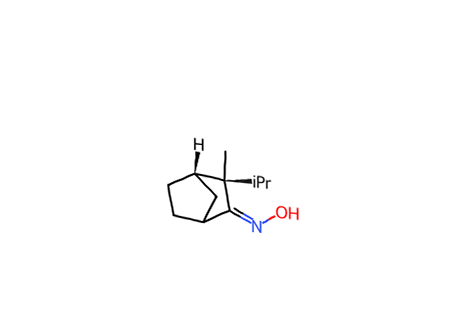 CC(C)[C@@]1(C)/C(=N\O)C2CC[C@H]1C2